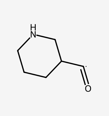 O=[C]C1CCCNC1